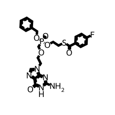 Nc1nc2c(ncn2CCOCP(=O)(OCCSC(=O)c2ccc(F)cc2)OCc2ccccc2)c(=O)[nH]1